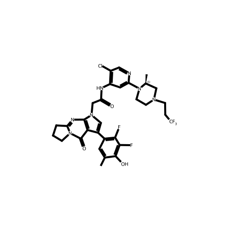 Cc1cc(-c2cn(CC(=O)Nc3cc(N4CCN(CCC(F)(F)F)C[C@@H]4C)ncc3Cl)c3nc4n(c(=O)c23)CCC4)c(F)c(F)c1O